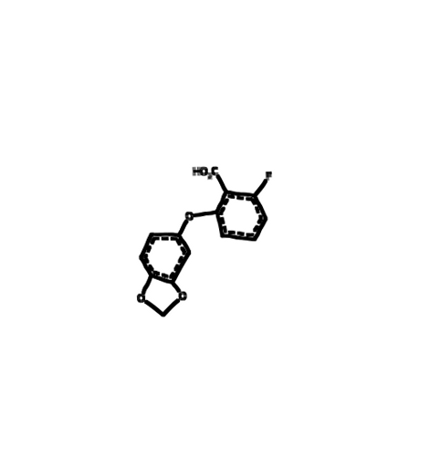 O=C(O)c1c(F)cccc1Oc1ccc2c(c1)OCO2